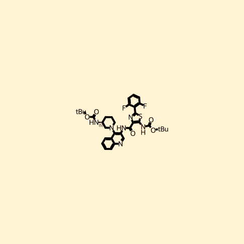 CC(C)(C)OC(=O)Nc1sc(-c2c(F)cccc2F)nc1C(=O)Nc1cnc2ccccc2c1N1CCC[C@H](NC(=O)OC(C)(C)C)C1